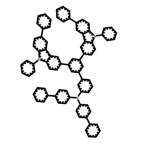 c1ccc(-c2ccc(N(c3ccc(-c4ccccc4)cc3)c3cccc(-c4cc(-c5ccc6c(c5)c5cc(-c7ccccc7)ccc5n6-c5ccccc5)cc(-c5ccc6c(c5)c5cc(-c7ccccc7)ccc5n6-c5ccccc5)c4)c3)cc2)cc1